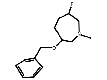 CN1CC(F)CCC(OCc2ccccc2)C1